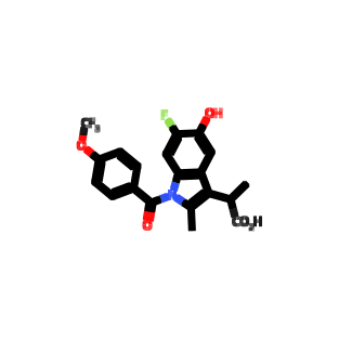 Cc1c(C(C)C(=O)O)c2cc(O)c(F)cc2n1C(=O)c1ccc(OC(F)(F)F)cc1